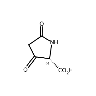 O=C1CC(=O)[C@@H](C(=O)O)N1